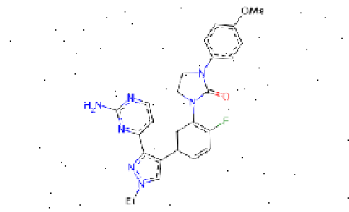 CCn1cc(C2C=CC(F)=C(N3CCN(c4ccc(OC)cc4)C3=O)C2)c(-c2ccnc(N)n2)n1